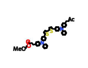 COCCOC(=O)CCc1ccc(N(c2ccccc2)c2ccc(-c3ccc(-c4ccc(-c5ccc(N(c6ccccc6)c6ccc(CCC(C)=O)cc6)cc5)s4)s3)cc2)cc1